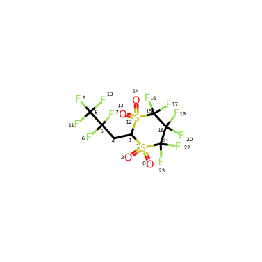 O=S1(=O)C(CC(F)(F)C(F)(F)F)S(=O)(=O)C(F)(F)C(F)(F)C1(F)F